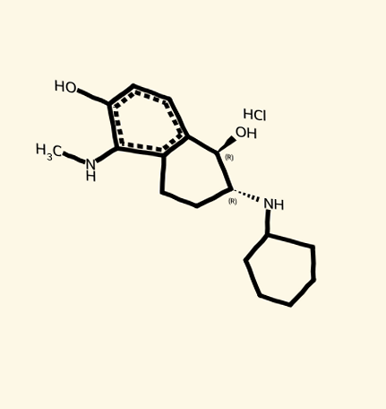 CNc1c(O)ccc2c1CC[C@@H](NC1CCCCC1)[C@@H]2O.Cl